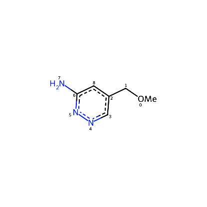 COCc1cnnc(N)c1